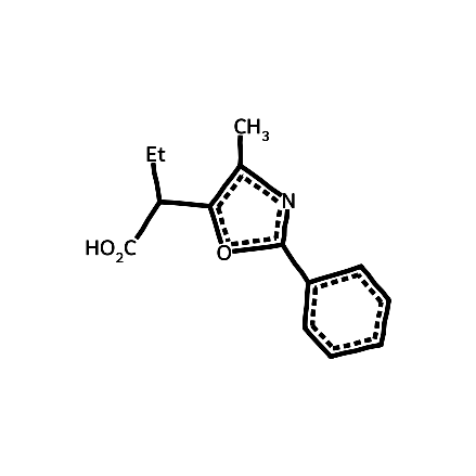 CCC(C(=O)O)c1oc(-c2ccccc2)nc1C